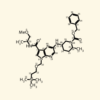 COC[C@H](C)NC(=O)c1cn(COCC[Si](C)(C)C)c2ncc(N[C@@H]3CC[C@H](C)N(C(=O)OCc4ccccc4)C3)nc12